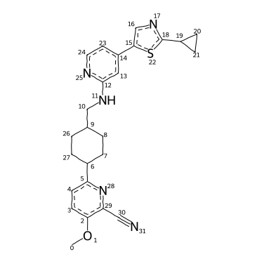 COc1ccc(C2CCC(CNc3cc(-c4cnc(C5CC5)s4)ccn3)CC2)nc1C#N